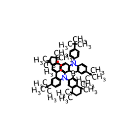 Cc1cc2c3c(c1)N(c1ccc(C(C)(C)C)cc1-c1ccc4c(c1)C(C)(C)CC4(C)C)c1cc4c(cc1B3c1cc(C(C)(C)C)ccc1N2c1ccc(C(C)(C)C)cc1)C(C)(C)CCC4(C)C